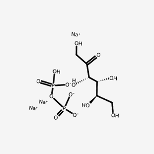 O=C(CO)[C@@H](O)[C@H](O)[C@H](O)CO.O=P([O-])([O-])OP(=O)([O-])O.[Na+].[Na+].[Na+]